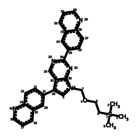 C[Si](C)(C)CCOCn1cc(-c2ccc3ncccc3c2)c2cnc(-c3ccc4ncccc4c3)nc21